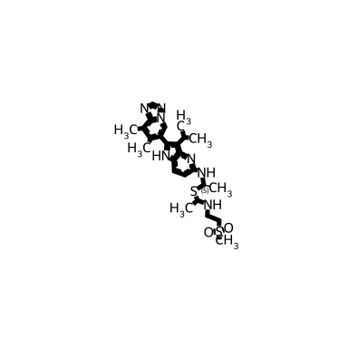 Cc1c(-c2[nH]c3ccc(N[C@H](C)SC(C)NCCS(C)(=O)=O)nc3c2C(C)C)cn2ncnc2c1C